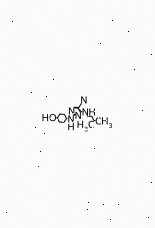 CC(C)CCNc1nc(N[C@H]2CC[C@H](O)CC2)ncc1C#N